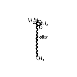 CCCCCCCCCCCCCCCCCCC(CC(N)=O)C(N)=O.[Na].[Na]